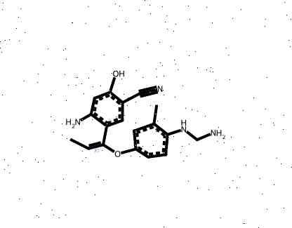 C/C=C(/Oc1ccc(NCN)c(C)c1)c1cc(C#N)c(O)cc1N